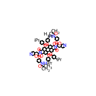 C=C(C)C(=O)Nc1cccc(OC(=O)C(Cc2ccncc2)N2C(=O)c3cc(Oc4ccc(C(C)C)cc4)c4c5c(Oc6ccc(C(C)C)cc6)cc6c7c(cc(Oc8ccc(C(C)C)cc8)c(c8c(Oc9ccc(C(C)C)cc9)cc(c3c48)C2=O)c75)C(=O)N(C(Cc2ccncc2)C(=O)Oc2cccc(NC(=O)C(=C)C)c2)C6=O)c1